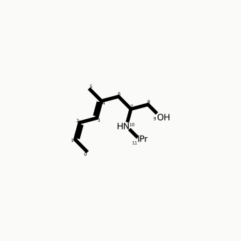 C/C=C\C=C(/C)CC(CO)NC(C)C